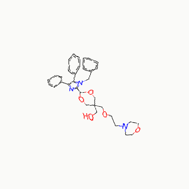 OCC1(COCCN2CCOCC2)COC(c2nc(-c3ccccc3)c(-c3ccccc3)n2Cc2ccccc2)OC1